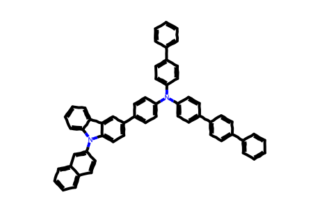 c1ccc(-c2ccc(-c3ccc(N(c4ccc(-c5ccccc5)cc4)c4ccc(-c5ccc6c(c5)c5ccccc5n6-c5ccc6ccccc6c5)cc4)cc3)cc2)cc1